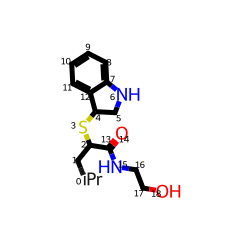 CC(C)CC(SC1CNc2ccccc21)C(=O)NCCO